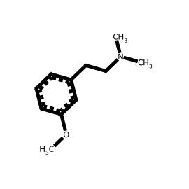 COc1cc[c]c(CCN(C)C)c1